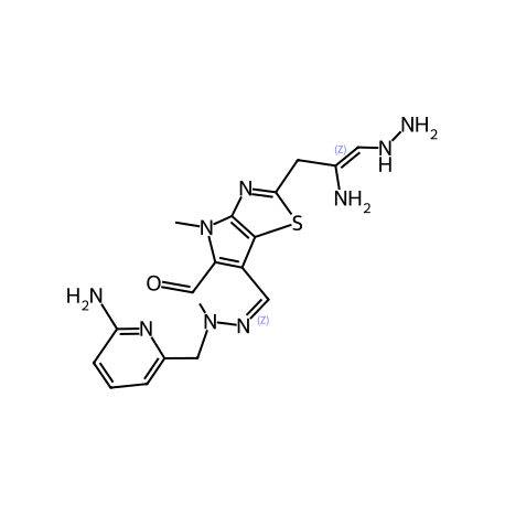 CN(Cc1cccc(N)n1)/N=C\c1c(C=O)n(C)c2nc(C/C(N)=C/NN)sc12